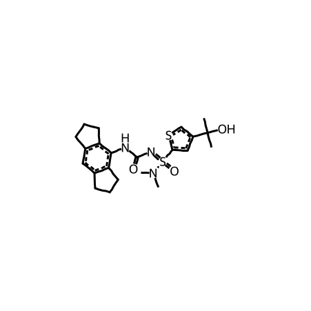 CN(C)[S@](=O)(=NC(=O)Nc1c2c(cc3c1CCC3)CCC2)c1cc(C(C)(C)O)cs1